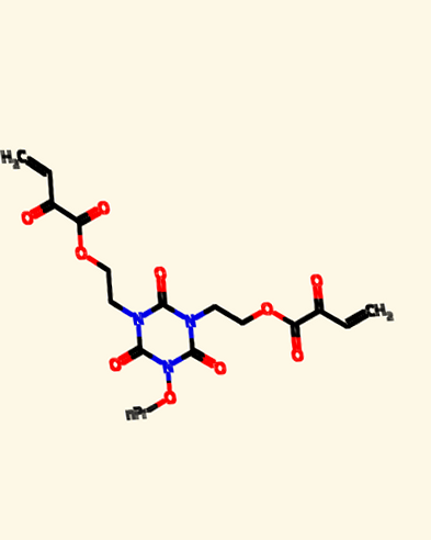 C=CC(=O)C(=O)OCCn1c(=O)n(CCOC(=O)C(=O)C=C)c(=O)n(OCCC)c1=O